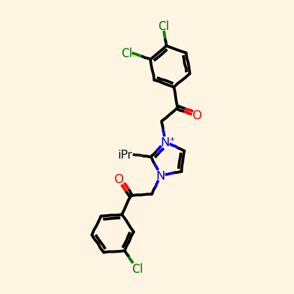 CC(C)c1n(CC(=O)c2cccc(Cl)c2)cc[n+]1CC(=O)c1ccc(Cl)c(Cl)c1